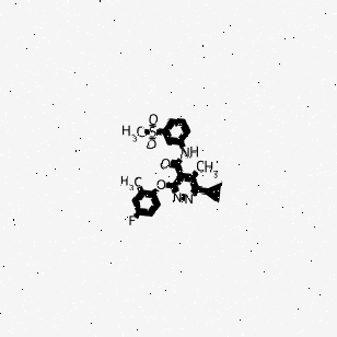 Cc1cc(F)ccc1Oc1nnc(C2CC2)c(C)c1C(=O)Nc1cccc(S(C)(=O)=O)c1